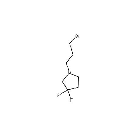 FC1(F)CCN(CCCBr)C1